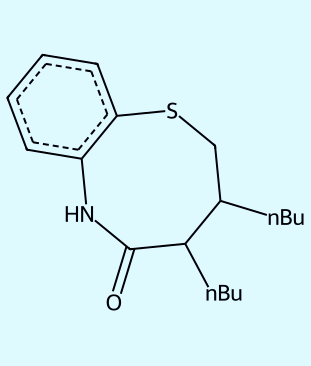 CCCCC1CSc2ccccc2NC(=O)C1CCCC